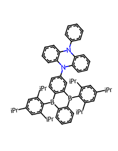 CC(C)c1cc(C(C)C)c(B2c3ccccc3B(c3c(C(C)C)cc(C(C)C)cc3C(C)C)c3cc(N4c5ccccc5N(c5ccccc5)c5ccccc54)ccc32)c(C(C)C)c1